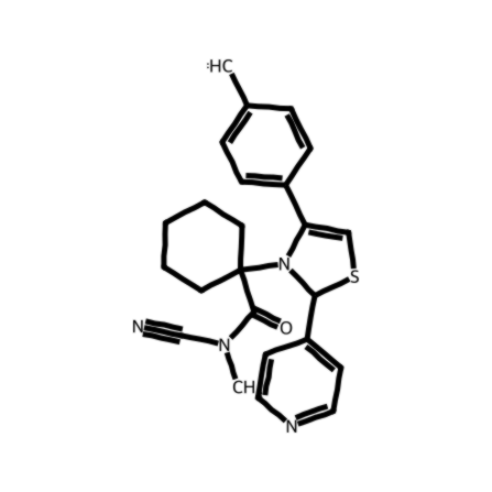 [CH]c1ccc(C2=CSC(c3ccncc3)N2C2(C(=O)N(C)C#N)CCCCC2)cc1